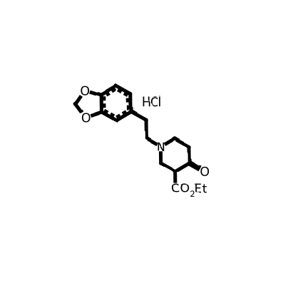 CCOC(=O)C1CN(CCc2ccc3c(c2)OCO3)CCC1=O.Cl